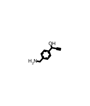 C#CC(O)c1ccc(CN)cc1